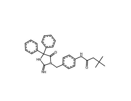 CC(C)(C)CC(=O)Nc1ccc(CN2C(=N)NC(c3ccccc3)(c3ccccc3)C2=O)cc1